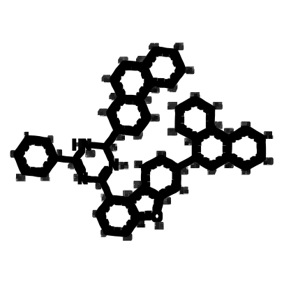 c1ccc(C2=NC(c3cccc4oc5cc(-c6cc7ccccc7c7ccccc67)ccc5c34)=NC(c3ccc4c(ccc5ccccc54)c3)N2)cc1